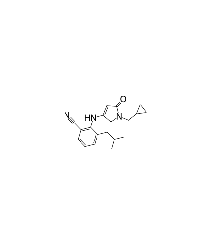 CC(C)Cc1cccc(C#N)c1NC1=CC(=O)N(CC2CC2)C1